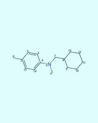 Cc1ccc(N(C)CC2CCCCC2)cc1